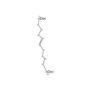 CCCCCCCCCCCCC/C=C/CCCCCCCCCCCCCC